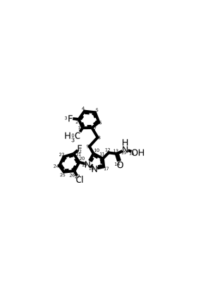 Cc1c(F)cccc1CCc1c(CC(=O)NO)cnn1-c1c(F)cccc1Cl